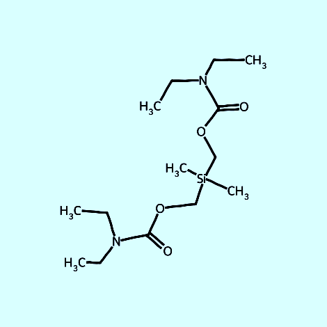 CCN(CC)C(=O)OC[Si](C)(C)COC(=O)N(CC)CC